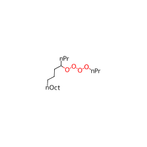 CCCCCCCCCCCC(CCC)OOOOCCC